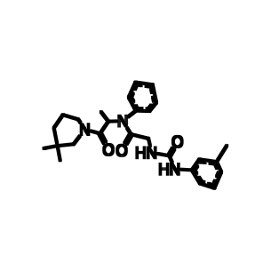 Cc1cccc(NC(=O)NCC(=O)N(c2ccccc2)C(C)C(=O)N2CCCC(C)(C)C2)c1